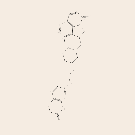 Cl.O=C1CSc2ccc(CNC[C@H]3CN(CC4Cn5c(=O)ccc6ncc(F)c4c65)CC[C@H]3O)nc2N1